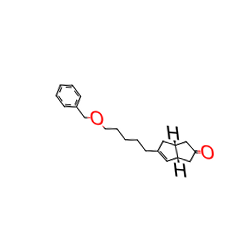 O=C1C[C@H]2CC(CCCCCOCc3ccccc3)=C[C@H]2C1